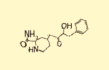 NC(=O)C1CC([CH]C(=O)C(O)Cc2ccccc2)CCN1